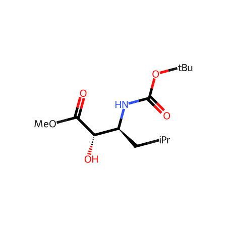 COC(=O)[C@@H](O)[C@H](CC(C)C)NC(=O)OC(C)(C)C